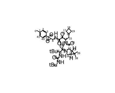 Cc1ccc(S(=O)(=O)CNC(=O)C(=O)C(CC2CCC2)NC(=O)[C@@H]2[C@@H]3[C@H](CN2C(=O)[C@@H](NC(=O)NC(C)(C)C)C(C)(C)C)C3(C)C)cc1